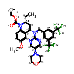 CCOC(=O)N1c2ccc(OC)cc2[C@@H](N(Cc2cc(C(F)(F)F)cc(C(F)(F)F)c2)c2ncc(N3CCOCC3)cn2)C[C@H]1CC